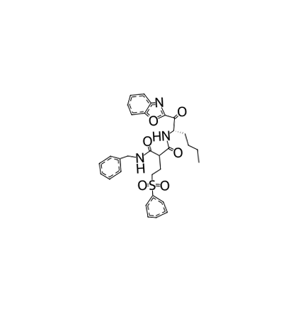 CCCC[C@H](NC(=O)C(CCS(=O)(=O)c1ccccc1)C(=O)NCc1ccccc1)C(=O)c1nc2ccccc2o1